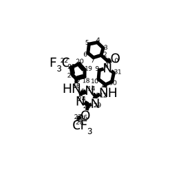 O=C(C1CCCCC1)N1CCC(Nc2nc(Nc3cccc(C(F)(F)F)c3)nc(OCC(F)(F)F)n2)CC1